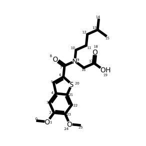 COc1cc2cc(C(=O)N(CCCC(C)C)CC(=O)O)sc2cc1OC